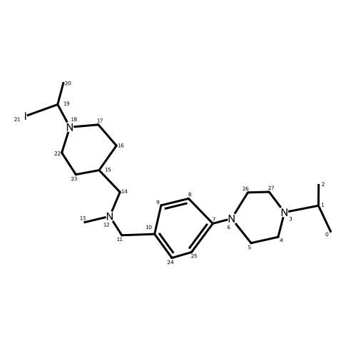 CC(C)N1CCN(c2ccc(CN(C)CC3CCN(C(C)I)CC3)cc2)CC1